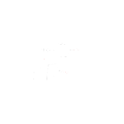 Cc1ccc(Br)cc1C1C(=O)CC2(CCCCC2)C1=O